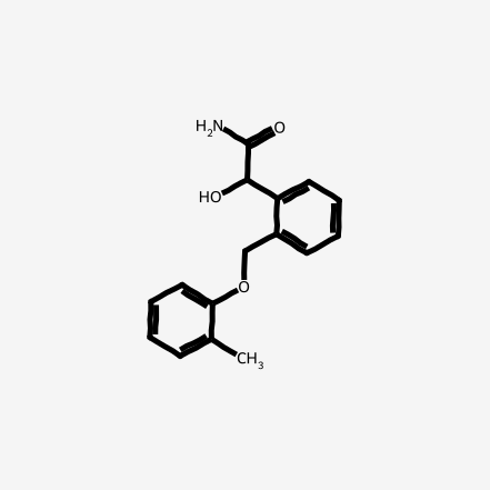 Cc1ccccc1OCc1ccccc1C(O)C(N)=O